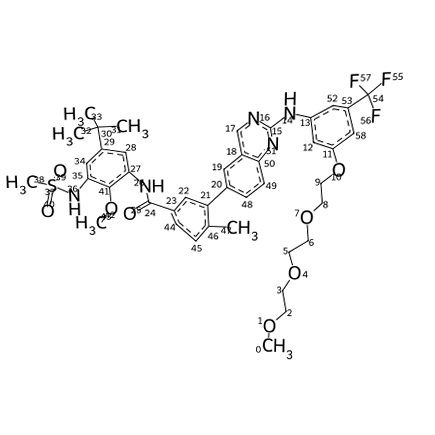 COCCOCCOCCOc1cc(Nc2ncc3cc(-c4cc(C(=O)Nc5cc(C(C)(C)C)cc(NS(C)(=O)=O)c5OC)ccc4C)ccc3n2)cc(C(F)(F)F)c1